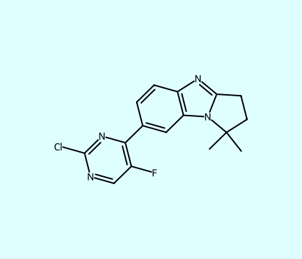 CC1(C)CCc2nc3ccc(-c4nc(Cl)ncc4F)cc3n21